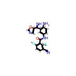 N#Cc1ccc(F)c(C(=O)Nc2ccc(N)c(C(=N)c3cnco3)c2)c1F